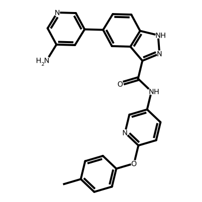 Cc1ccc(Oc2ccc(NC(=O)c3n[nH]c4ccc(-c5cncc(N)c5)cc34)cn2)cc1